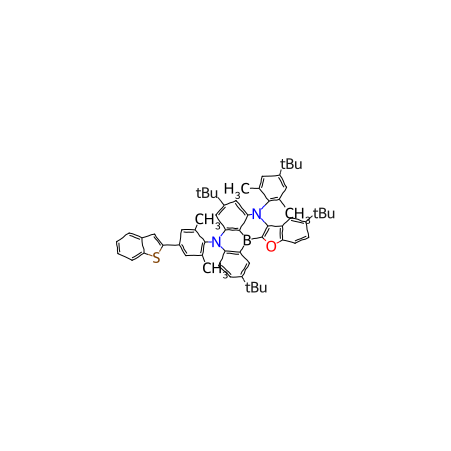 Cc1cc(-c2cc3ccccc3s2)cc(C)c1N1c2ccc(C(C)(C)C)cc2B2c3oc4ccc(C(C)(C)C)cc4c3N(c3c(C)cc(C(C)(C)C)cc3C)c3cc(C(C)(C)C)cc1c32